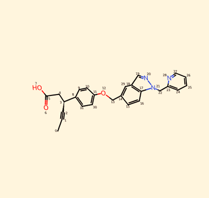 CC#C[C@@H](CC(=O)O)c1ccc(OCc2ccc3c(cnn3Cc3ccccn3)c2)cc1